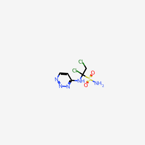 NS(=O)(=O)C(Cl)(CCl)Nc1ccnnn1